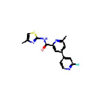 Cc1cc(-c2ccnc(F)c2)cc(C(=O)Nc2nc(C)cs2)n1